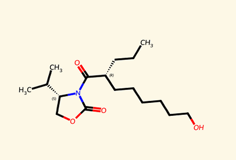 CCC[C@H](CCCCCCO)C(=O)N1C(=O)OC[C@@H]1C(C)C